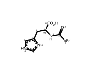 CCCC(=O)N[C@@H](Cc1c[nH]cn1)C(=O)O